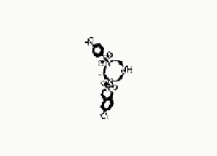 C[C@H]1CN(S(=O)(=O)c2ccc(N(C)C)cc2)CCCNCCCN(S(=O)(=O)N2CCc3cc(Cl)ccc3C2)C1